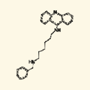 c1ccc(CNCCCCCCNc2c3ccccc3nc3ccccc23)cc1